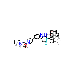 C=C(C)/C=C(\C=C(\C)C(C)CC)c1[nH]c2ccc(C3CCN(C(=O)CN(C)C)CC3)cc2c1CC(F)F